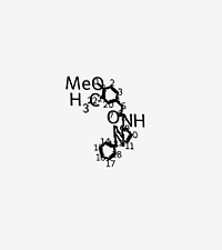 COc1ccc(CC(=O)Nc2ccn(-c3ccccc3)n2)cc1C